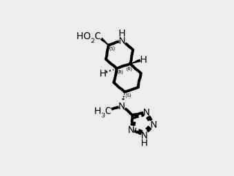 CN(c1nn[nH]n1)[C@H]1CC[C@H]2CN[C@H](C(=O)O)C[C@@H]2C1